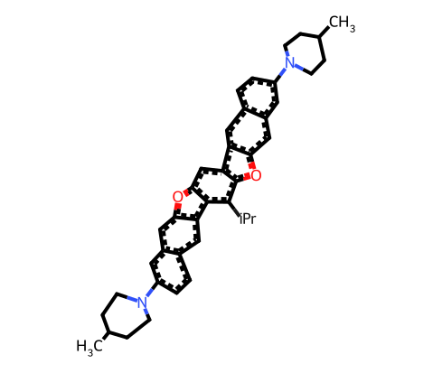 CC1CCN(c2ccc3cc4c(cc3c2)oc2c(C(C)C)c3c(cc24)oc2cc4cc(N5CCC(C)CC5)ccc4cc23)CC1